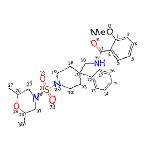 COc1ccccc1C(=O)NCC1(c2ccccc2)CCN(S(=O)(=O)N2CC(C)OC(C)C2)CC1